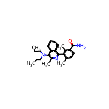 CCCN(CCC)c1c(C)nc(-c2c(C)ccc(C(N)=O)c2C)c2ccccc12